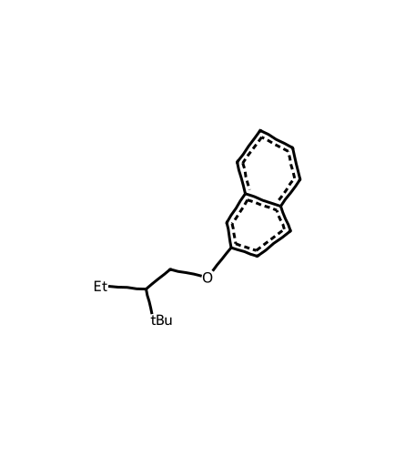 CCC(COc1ccc2ccccc2c1)C(C)(C)C